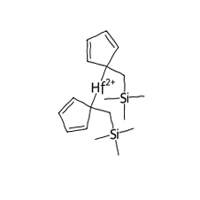 C[Si](C)(C)C[C]1([Hf+2][C]2(C[Si](C)(C)C)C=CC=C2)C=CC=C1